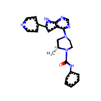 C[C@@H]1CN(c2ncnc3[nH]c(-c4ccncc4)cc23)CCN1C(=O)Nc1ccccc1